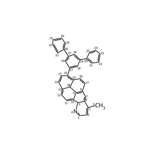 CC1=CC=NC2C1=CC1=C3C2=CC=C2C=CC(c4cc(-c5ccccc5)cc(-c5ccccc5)c4)=C(C=C1)C23